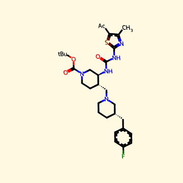 CC(=O)c1sc(NC(=O)N[C@@H]2CN(C(=O)OC(C)(C)C)CC[C@H]2CN2CCC[C@@H](Cc3ccc(F)cc3)C2)nc1C